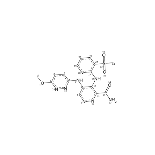 COc1ccc(Nc2cnnc(C(N)=O)c2Nc2ncccc2S(C)(=O)=O)nn1